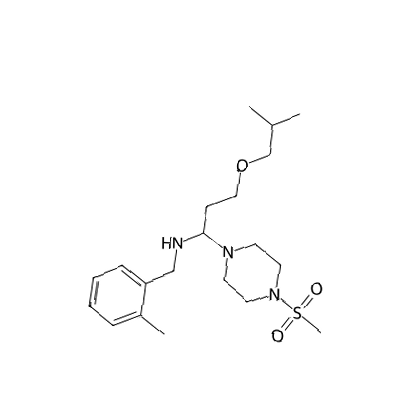 Cc1ccccc1CNC(CCOCC(C)C)N1CCN(S(C)(=O)=O)CC1